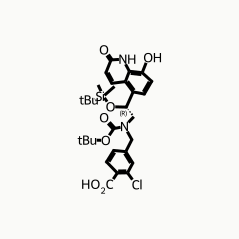 CC(C)(C)OC(=O)N(Cc1ccc(C(=O)O)c(Cl)c1)C[C@H](O[Si](C)(C)C(C)(C)C)c1ccc(O)c2[nH]c(=O)ccc12